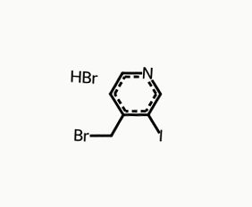 Br.BrCc1ccncc1I